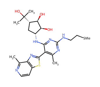 CSCCNc1nc(C)c(-c2nc3c(C)nccc3s2)c(N[C@@H]2C[C@H](C(C)(C)O)[C@@H](O)[C@H]2O)n1